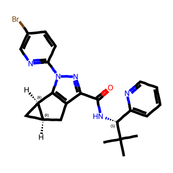 CC(C)(C)[C@H](NC(=O)c1nn(-c2ccc(Br)cn2)c2c1C[C@H]1C[C@@H]21)c1ccccn1